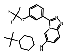 CC(C)(C)[C@H]1CC[C@H](Nc2ccc3nnc(-c4cccc(OC(F)(F)F)c4)n3c2)CC1